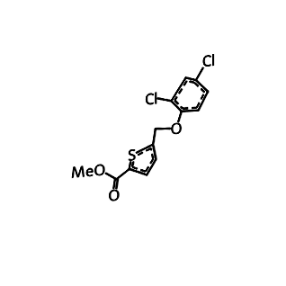 COC(=O)c1ccc(COc2ccc(Cl)cc2Cl)s1